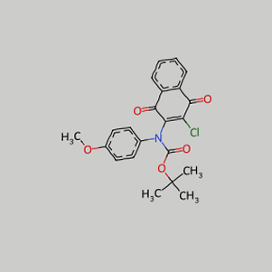 COc1ccc(N(C(=O)OC(C)(C)C)C2=C(Cl)C(=O)c3ccccc3C2=O)cc1